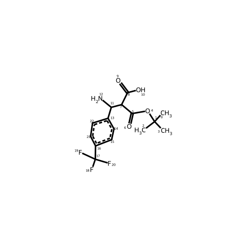 CC(C)(C)OC(=O)C(C(=O)O)C(N)c1ccc(C(F)(F)F)cc1